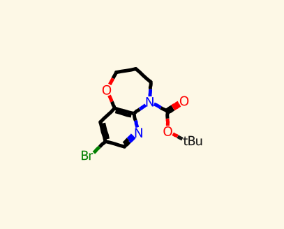 CC(C)(C)OC(=O)N1CCCOc2cc(Br)cnc21